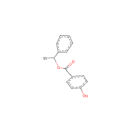 CCC(OC(=O)c1ccc(O)cc1)c1ccccc1